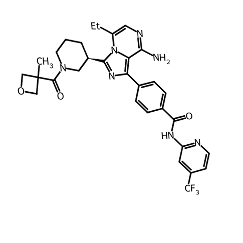 CCc1cnc(N)c2c(-c3ccc(C(=O)Nc4cc(C(F)(F)F)ccn4)cc3)nc([C@@H]3CCCN(C(=O)C4(C)COC4)C3)n12